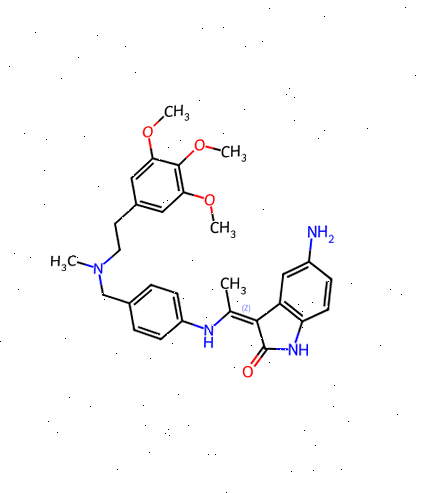 COc1cc(CCN(C)Cc2ccc(N/C(C)=C3\C(=O)Nc4ccc(N)cc43)cc2)cc(OC)c1OC